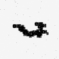 CN(CCC(=O)NC=O)c1cccc2c1ccn2CC1(F)CCN(CC2CCN(c3ccc(C=O)nn3)CC2)CC1